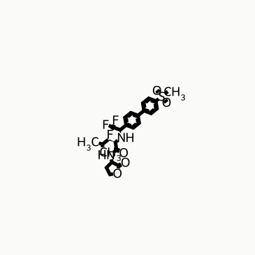 CC(C)C[C@H](N[C@@H](c1ccc(-c2ccc(S(C)(=O)=O)cc2)cc1)C(F)(F)F)C(=O)NC1CCOC1=O